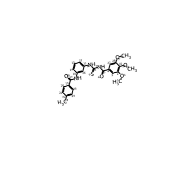 COc1cc(C(=O)NC(=S)Nc2cccc(NC(=O)c3ccc(C)cc3)c2)cc(OC)c1OC